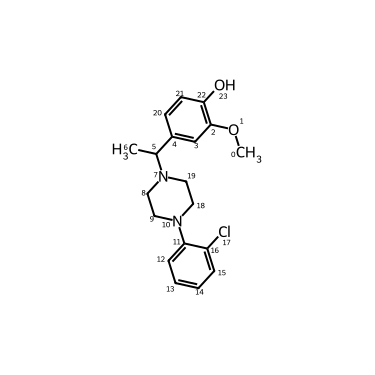 COc1cc(C(C)N2CCN(c3ccccc3Cl)CC2)ccc1O